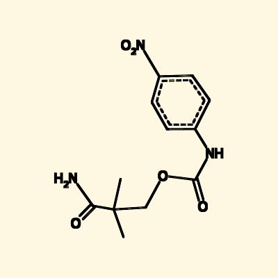 CC(C)(COC(=O)Nc1ccc([N+](=O)[O-])cc1)C(N)=O